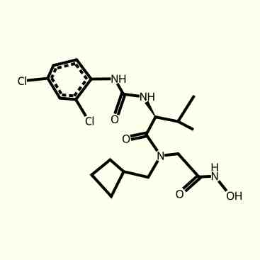 CC(C)[C@H](NC(=O)Nc1ccc(Cl)cc1Cl)C(=O)N(CC(=O)NO)CC1CCC1